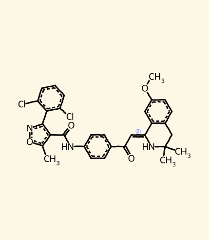 COc1ccc2c(c1)/C(=C/C(=O)c1ccc(NC(=O)c3c(-c4c(Cl)cccc4Cl)noc3C)cc1)NC(C)(C)C2